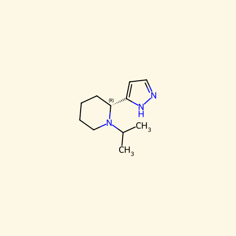 CC(C)N1CCCC[C@@H]1c1ccn[nH]1